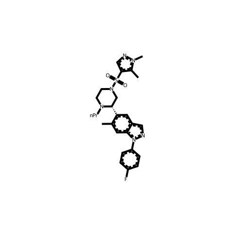 CCCN1CCN(S(=O)(=O)c2cnn(C)c2C)C[C@@H]1c1cc2cnn(-c3ccc(F)cc3)c2cc1C